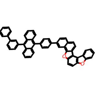 c1ccc(-c2cccc(-c3c4ccccc4c(-c4ccc(-c5ccc6ccc7c(oc8ccc9oc%10ccccc%10c9c87)c6c5)cc4)c4ccccc34)c2)cc1